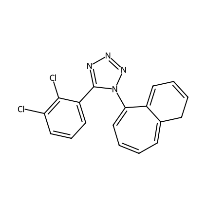 Clc1cccc(-c2nnnn2C2=CC=CC=C3CC=CC=C32)c1Cl